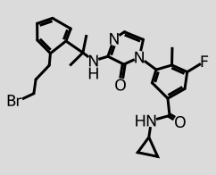 Cc1c(F)cc(C(=O)NC2CC2)cc1-n1ccnc(NC(C)(C)c2ccccc2CCCBr)c1=O